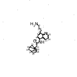 NCCSc1ccc(NC(=O)CC23CC4CC(CC(C4)C2)C3)c2cccnc12